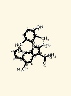 Cc1ccc(O)c(C)c1-n1c(N)c(C(N)=O)c2cc(C)c3ccnn3c21